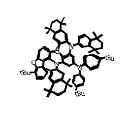 Cc1cc2c(cc1N1c3cc(N(c4ccc(C(C)(C)C)cc4)c4ccc(C(C)(C)C)cc4)cc4c3B(c3cc5c(cc3N4c3ccc4c(c3)C(C)(C)CCC4(C)C)C(C)(C)CCC5(C)C)c3ccc4oc5c(C(C)(C)C)cccc5c4c31)C(C)(C)CCC2(C)C